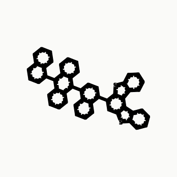 c1ccc2c(-c3c4ccccc4c(-c4ccc(-c5cc6sc7ccccc7c6c6c5sc5ccccc56)c5ccccc45)c4ccccc34)cccc2c1